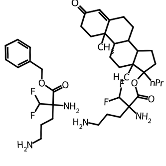 CCCC1(OC(=O)C(N)(CCCN)C(F)F)CCC2C3CCC4=CC(=O)CCC4(C)C3CCC21C.NCCCC(N)(C(=O)OCc1ccccc1)C(F)F